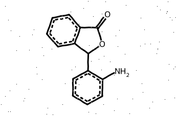 Nc1ccccc1C1OC(=O)c2ccccc21